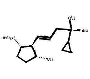 CCCCCCC[C@H]1CC[C@@H](O)[C@@H]1/C=C/C[C@@](O)(CCCC)C1CC1